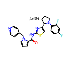 CC(=O)N[C@@H]1CCN(c2ccc(F)cc2F)[C@H]1c1csc(NC(=O)c2cccn2Cc2ccncc2)n1